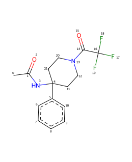 CC(=O)NC1(c2ccccc2)CCN(C(=O)C(F)(F)F)CC1